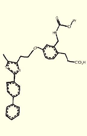 Cc1sc(-c2ccc(-c3ccccc3)cc2)nc1CCOc1ccc(CCC(=O)O)c(CNC(=O)OC(C)C)c1